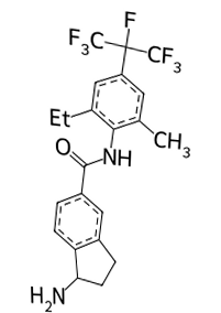 CCc1cc(C(F)(C(F)(F)F)C(F)(F)F)cc(C)c1NC(=O)c1ccc2c(c1)CCC2N